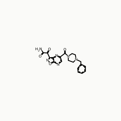 NC(=O)C(=O)c1noc2ncc(C(=O)N3CCN(Cc4ccccc4)CC3)nc12